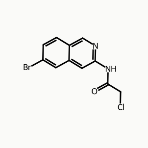 O=C(CCl)Nc1cc2cc(Br)ccc2cn1